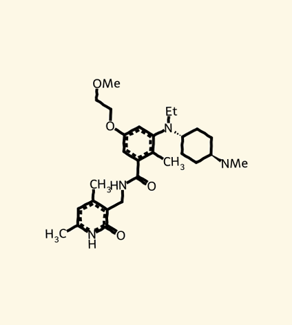 CCN(c1cc(OCCOC)cc(C(=O)NCc2c(C)cc(C)[nH]c2=O)c1C)[C@H]1CC[C@H](NC)CC1